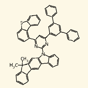 CC1(C)c2ccccc2-c2cc3c4ccccc4n(-c4nc(-c5cc(-c6ccccc6)cc(-c6ccccc6)c5)cc(-c5cccc6sc7ccccc7c56)n4)c3cc21